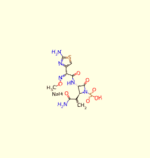 C=C(C(N)=O)[C@H]1[C@H](NC(=O)C(=NOC)c2csc(N)n2)C(=O)N1S(=O)(=O)O.[NaH]